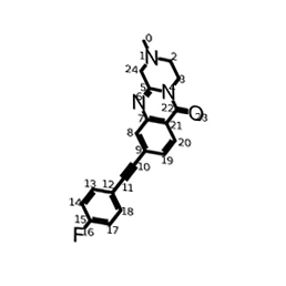 CN1CCn2c(nc3cc(C#Cc4ccc(F)cc4)ccc3c2=O)C1